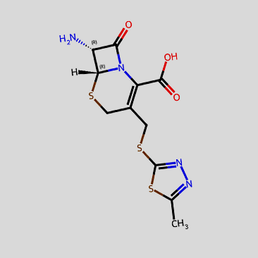 Cc1nnc(SCC2=C(C(=O)O)N3C(=O)[C@@H](N)[C@H]3SC2)s1